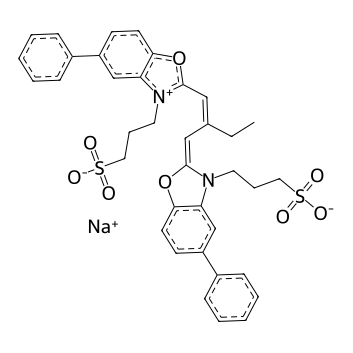 CCC(=Cc1oc2ccc(-c3ccccc3)cc2[n+]1CCCS(=O)(=O)[O-])C=C1Oc2ccc(-c3ccccc3)cc2N1CCCS(=O)(=O)[O-].[Na+]